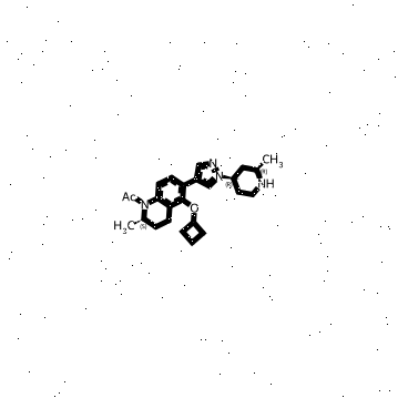 CC(=O)N1c2ccc(-c3cnn([C@@H]4CCN[C@H](C)C4)c3)c(OC3CCC3)c2CC[C@@H]1C